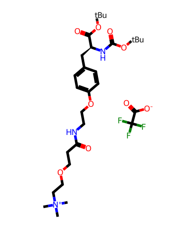 CC(C)(C)OC(=O)N[C@@H](Cc1ccc(OCCNC(=O)CCOCC[N+](C)(C)C)cc1)C(=O)OC(C)(C)C.O=C([O-])C(F)(F)F